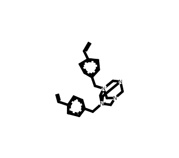 C=Cc1ccc(C[N+]23CN4CN(C2)C[N+](Cc2ccc(C=C)cc2)(C4)C3)cc1